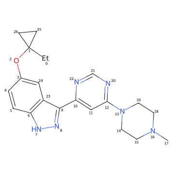 CCC1(Oc2ccc3[nH]nc(-c4cc(N5CCN(C)CC5)ncn4)c3c2)CC1